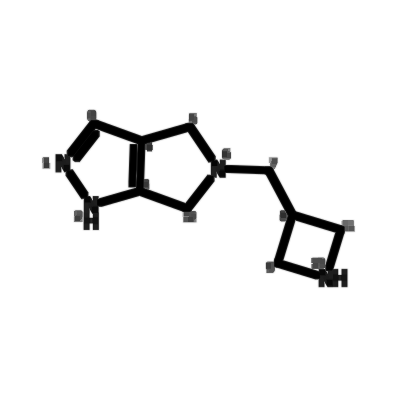 c1n[nH]c2c1CN(CC1CNC1)C2